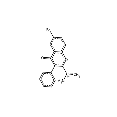 C[C@@H](N)c1oc2ccc(Br)cc2c(=O)c1-c1ccccc1